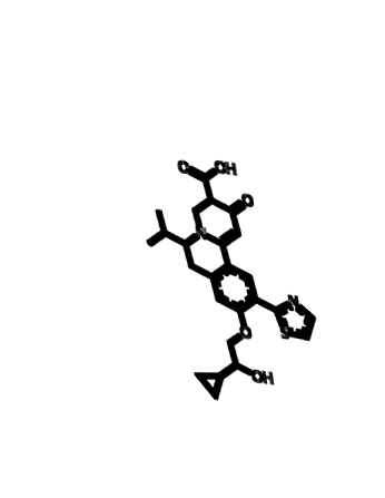 CC(C)C1Cc2cc(OCC(O)C3CC3)c(-c3nccs3)cc2C2=CC(=O)C(C(=O)O)CN21